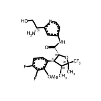 COc1c([C@H]2[C@H](C(=O)Nc3ccnc([C@H](N)CO)c3)O[C@@](C)(C(F)(F)F)[C@H]2C)ccc(F)c1F